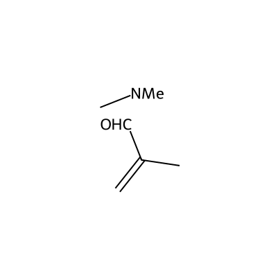 C=C(C)C=O.CNC